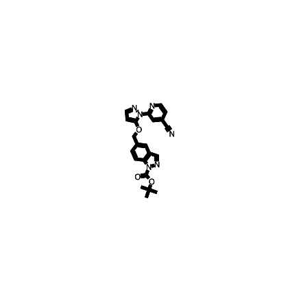 CC(C)(C)OC(=O)n1ncc2cc(COc3ccnn3-c3cc(C#N)ccn3)ccc21